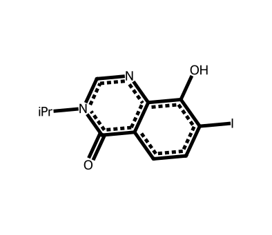 CC(C)n1cnc2c(O)c(I)ccc2c1=O